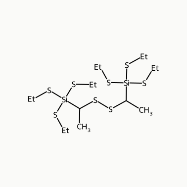 CCS[Si](SCC)(SCC)C(C)SSC(C)[Si](SCC)(SCC)SCC